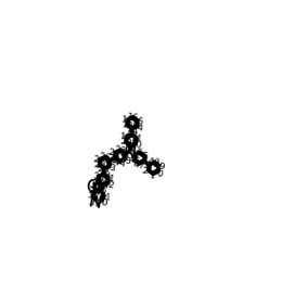 c1ccc(-c2ccc(N(c3ccc(-c4ccccc4)cc3)c3ccc(-c4cccc(-c5ccc6c(c5)oc5cnccc56)c4)cc3)cc2)cc1